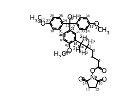 [2H]C([2H])(CCCC(=O)ON1C(=O)CCC1=O)C([2H])([2H])c1cc(C(O)(c2ccc(OC)cc2)c2ccc(OC)cc2)ccc1OC